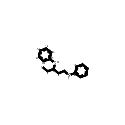 CCC(CCSc1ccccc1)Sc1ccccc1